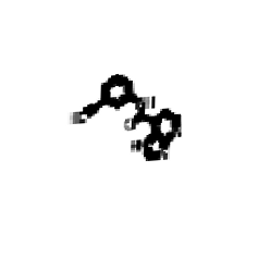 C#Cc1cccc(NC(=O)c2ccnc3nc[nH]c23)c1